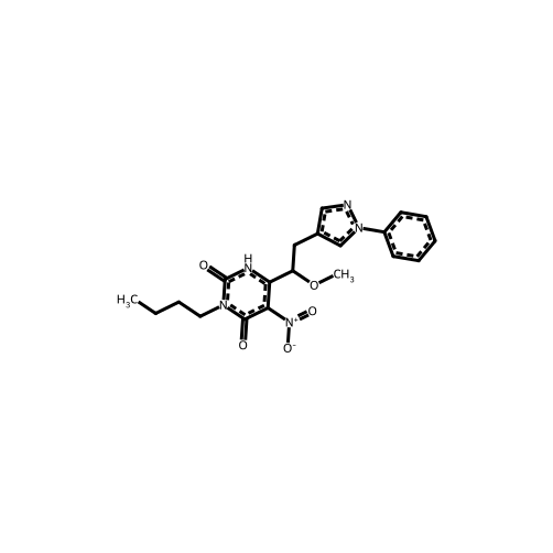 CCCCn1c(=O)[nH]c(C(Cc2cnn(-c3ccccc3)c2)OC)c([N+](=O)[O-])c1=O